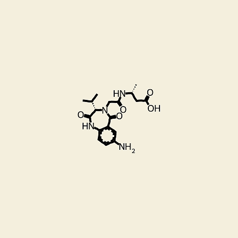 CC(C)[C@H]1C(=O)Nc2ccc(N)cc2C(=O)N1CC(=O)N[C@H](C)CC(=O)O